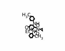 CCn1c(=O)cc(Nc2ccc(C)cc2)c2c(=O)n(C3CC3)c(=O)n(-c3ccccc3C)c21